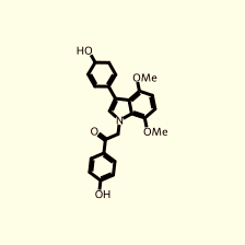 COc1ccc(OC)c2c1c(C1=CCC(O)C=C1)cn2CC(=O)c1ccc(O)cc1